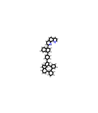 c1cnc2c(c1)ccc1ccc(-c3ccc(-c4ccc(-c5cc6ccc7cccc8c9ccccc9c9ccccc9c(c5)c6c78)cc4)c4ccccc34)nc12